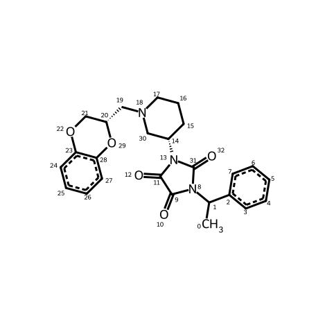 CC(c1ccccc1)N1C(=O)C(=O)N([C@H]2CCCN(C[C@H]3COc4ccccc4O3)C2)C1=O